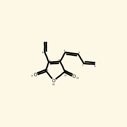 C=C/C=C\C1=C(C=C)C(=O)OC1=O